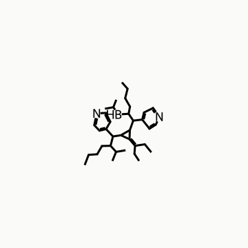 CCCCC(BC(C)C)C(c1ccncc1)C1C(=C(CC)CC)C1C(c1ccncc1)C(CCCC)C(C)C